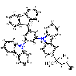 CC(C)CCC(C)(C)c1ccc2c(c1)c1ccccc1n2-c1cc(C2c3ccccc3-c3ccccc32)cc(-n2c3ccccc3c3ccccc32)c1